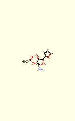 CC(=O)OC1=C(N)OC(c2ccco2)C1=O